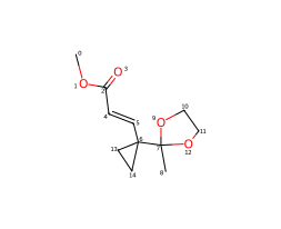 COC(=O)C=CC1(C2(C)OCCO2)CC1